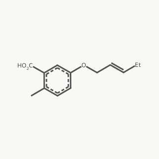 CCC=CCOc1ccc(C)c(C(=O)O)c1